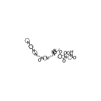 CC(Oc1cccc2c1C(=O)N(C1CCC(=O)NC1=O)C2=O)c1cn(CCCN2CCN(C(=O)CCN3CCN(c4ccc(N5CCCCC5)cc4)CC3)CC2)nn1